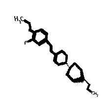 CCCc1ccc(CCC2=CCC([C@H]3CC[C@H](CCC)CC3)CC2)cc1F